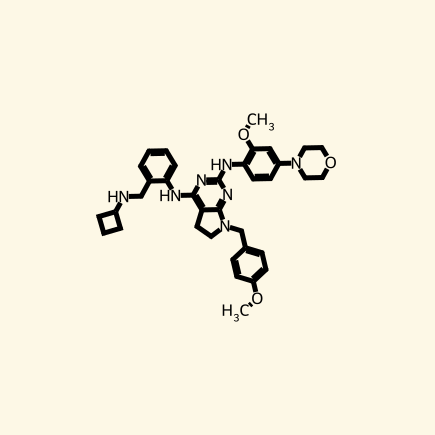 COc1ccc(CN2CCc3c(Nc4ccccc4CNC4CCC4)nc(Nc4ccc(N5CCOCC5)cc4OC)nc32)cc1